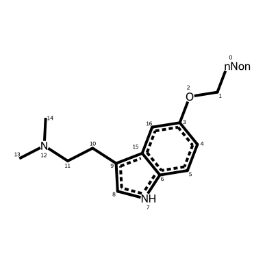 CCCCCCCCCCOc1ccc2[nH]cc(CCN(C)C)c2c1